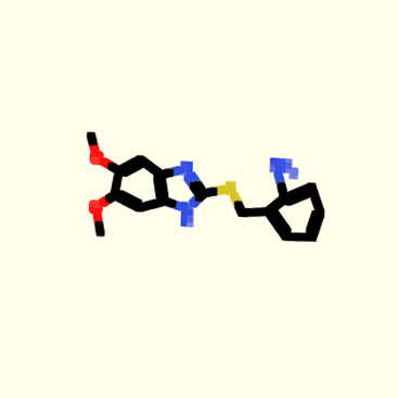 COc1cc2nc(SCc3ccccc3N)[nH]c2cc1OC